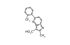 Cc1nc2ccc(-c3ccccc3C(F)(F)F)nn2c1C(=O)O